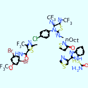 C/N=C1\SC(=N\C(F)(F)F)/C(=N\C(F)(F)F)N1c1ccc(Cl)cc1.CCCCCCCCn1sccc1=O.Cc1nc(C(F)(F)F)c(C(=O)Nc2c(Br)cc(OC(F)(F)F)cc2Br)s1.NC(=O)S.c1ccc2[nH]c(-c3cscn3)nc2c1